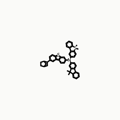 CC1(C)c2ccccc2-c2ccc(N(c3ccc4c(c3)-c3ccccc3S4(C)C)c3ccc4c(c3)sc3ccc(C5CC6CCC5C6)cc34)cc21